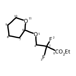 CCOC(=O)C(F)(F)COC1CCCCO1